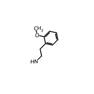 COc1ccccc1CC[NH]